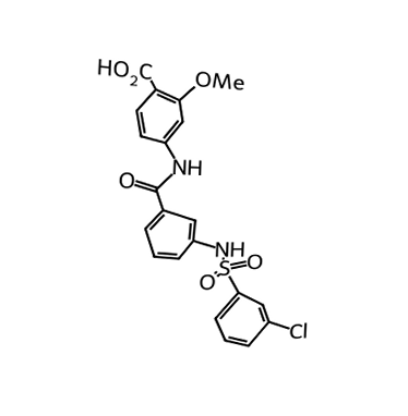 COc1cc(NC(=O)c2cccc(NS(=O)(=O)c3cccc(Cl)c3)c2)ccc1C(=O)O